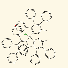 Cc1cc([Si](Cl)(c2cc(C)c(-c3ccccc3)c(-c3ccccc3)c2-c2ccccc2)c2cc(C)c(-c3ccccc3)c(-c3ccccc3)c2-c2ccccc2)c(-c2ccccc2)c(-c2ccccc2)c1-c1ccccc1